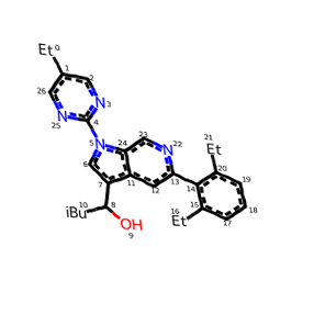 CCc1cnc(-n2cc(C(O)C(C)CC)c3cc(-c4c(CC)cccc4CC)ncc32)nc1